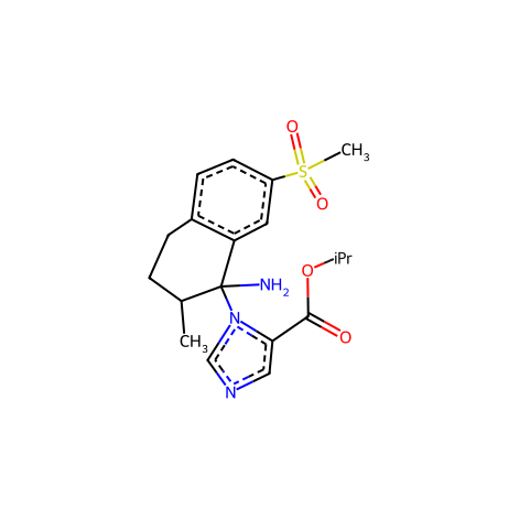 CC(C)OC(=O)c1cncn1C1(N)c2cc(S(C)(=O)=O)ccc2CCC1C